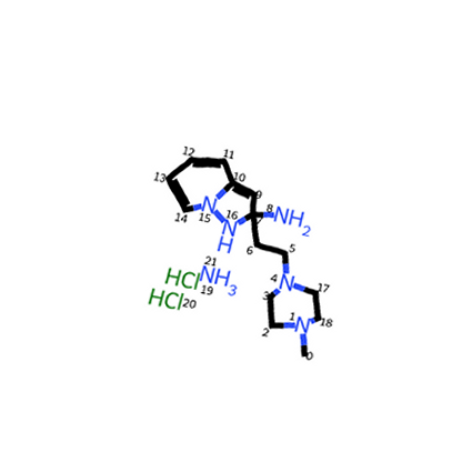 CN1CCN(CCC2(N)C=C3C=CC=CN3N2)CC1.Cl.Cl.N